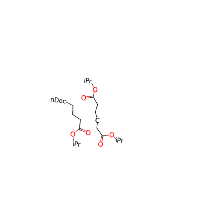 CC(C)OC(=O)CCCCC(=O)OC(C)C.CCCCCCCCCCCCCC(=O)OC(C)C